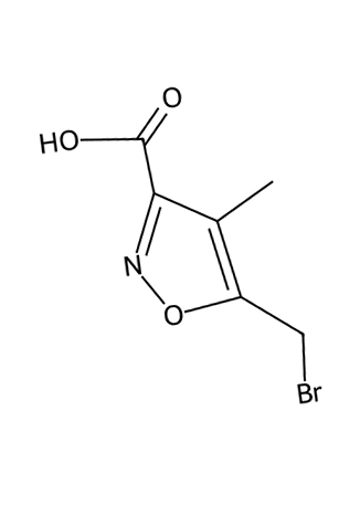 Cc1c(C(=O)O)noc1CBr